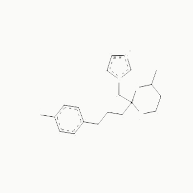 CC1CCSC(CCCc2ccc(Cl)cc2)(Cn2ccnc2)S1